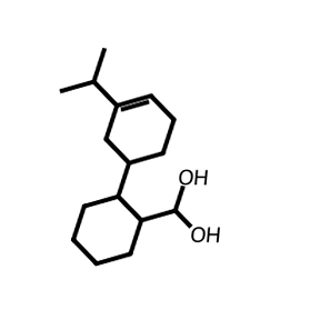 CC(C)C1=CCCC(C2CCCCC2C(O)O)C1